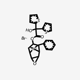 C[N+]1(Cc2ccccc2)C2CC(OC(=O)C(O)(c3cccs3)c3cccs3)CC1C1OC12.[Br-]